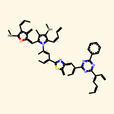 C=C/C=C\c1c(BC)c(C)c(/C=c2/oc(BC)c(/C=C\C)c2=C)n1/C(C)=C/C(=C\C)c1n/c(=C/C(=C\C)c2nc(/C(C=C)=C/C=C\C)nc(-c3ccccc3)n2)c(=C)s1